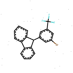 FC(F)(F)c1cc(Br)cc(C2c3ccccc3-c3ccccc32)c1